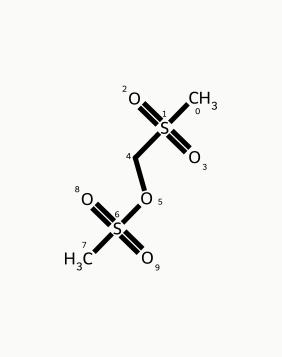 CS(=O)(=O)COS(C)(=O)=O